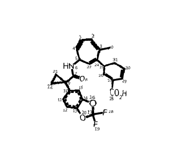 CC1=CC#CC(NC(=O)C2(c3ccc4c(c3)OC(F)(F)O4)CC2)C=C1C1C=C(C(=O)O)C=CC1